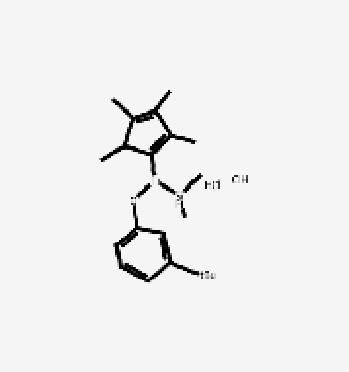 CC1=C(C)C(C)[C]([Ti]([O]c2cccc(C(C)(C)C)c2)[SiH](C)C)=C1C.Cl.Cl